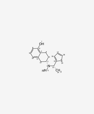 CCCN([C@H]1CCc2c(O)cccc2C1)[C@@H](C)c1cccs1